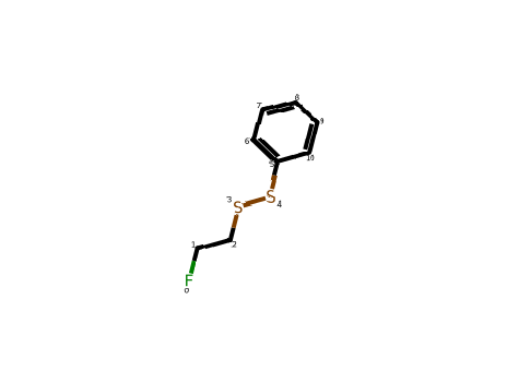 FCCSSc1ccccc1